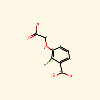 O=C(O)COc1cccc(B(O)O)c1F